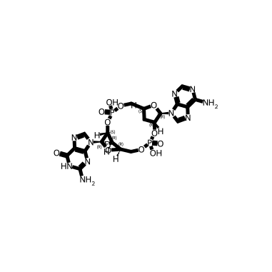 Nc1nc2c(ncn2[C@@H]2O[C@@H]3COP(=O)(O)O[C@@H]4C[C@@H](COP(=O)(O)O[C@@H]2[C@@H]3F)O[C@H]4n2cnc3c(N)ncnc32)c(=O)[nH]1